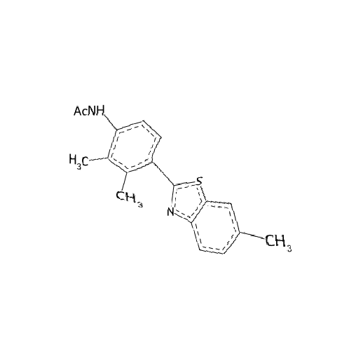 CC(=O)Nc1ccc(-c2nc3ccc(C)cc3s2)c(C)c1C